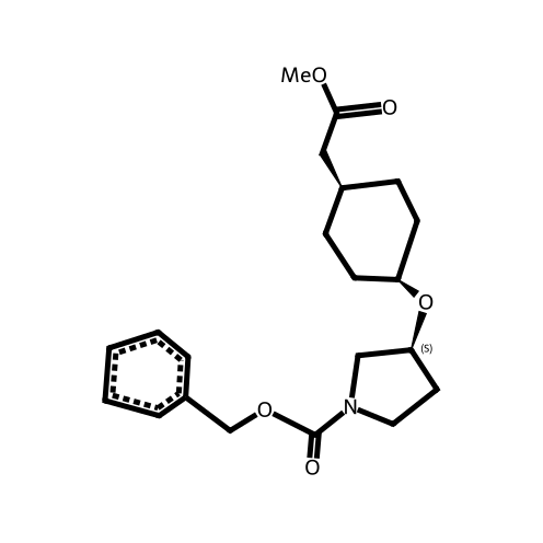 COC(=O)C[C@H]1CC[C@@H](O[C@H]2CCN(C(=O)OCc3ccccc3)C2)CC1